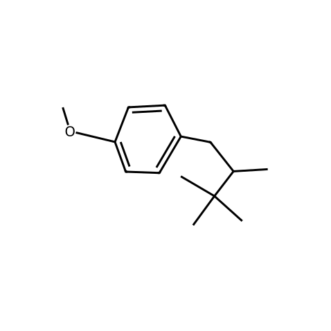 COc1ccc(CC(C)C(C)(C)C)cc1